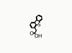 O=C(O)Cc1cccc2c1sc1ccccc12